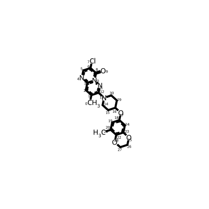 Cc1cc2ncc(Cl)c(=O)n2nc1N1CCC(Oc2cc(C)c3c(c2)OCCO3)CC1